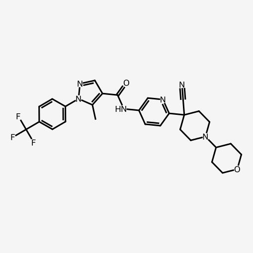 Cc1c(C(=O)Nc2ccc(C3(C#N)CCN(C4CCOCC4)CC3)nc2)cnn1-c1ccc(C(F)(F)F)cc1